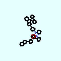 c1ccc(C2(c3ccccc3)c3ccccc3-c3ccc(-c4ccc(N(c5ccc(-c6cccc(-c7ccc8ccccc8c7)c6)cc5)c5ccccc5-n5c6ccccc6c6ccccc65)cc4)cc32)cc1